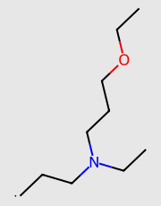 [CH2]CCN(CC)CCCOCC